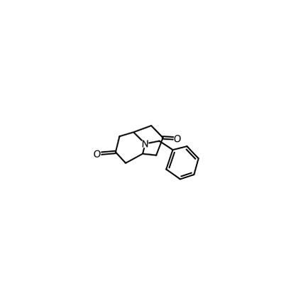 O=C1CC2CC(=O)CC(C1)N2Cc1ccccc1